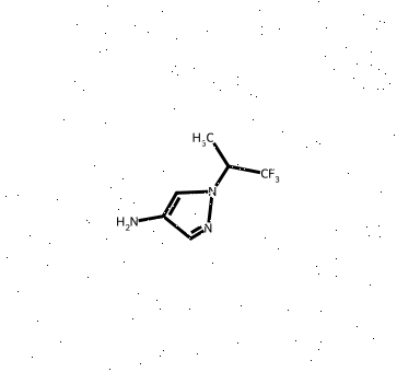 CC(n1cc(N)cn1)C(F)(F)F